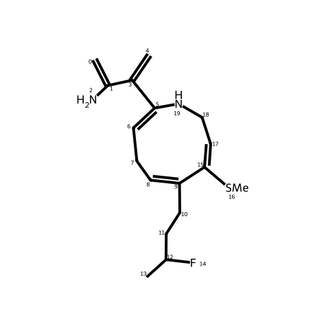 C=C(N)C(=C)/C1=C/C/C=C(CCC(C)F)\C(SC)=C/CN1